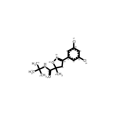 CC(C)(C)NC(=O)C1(C)CC(c2cc(Cl)cc(Cl)c2)=NO1